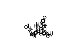 C=CC(=O)N1CCN(c2ncnc3cc(COc4ccc(NC(=O)CC)cc4NC(=O)/C(C=N)=C(/Nc4ccc(OC)cc4)C(F)(F)F)c(Cl)cc23)CC1